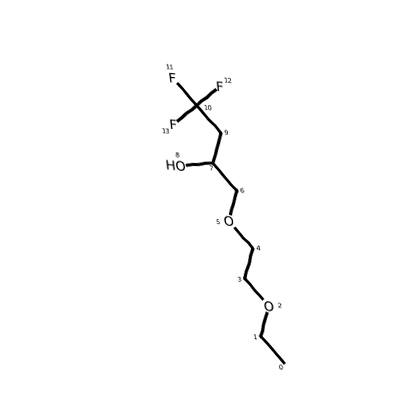 CCOCCOCC(O)CC(F)(F)F